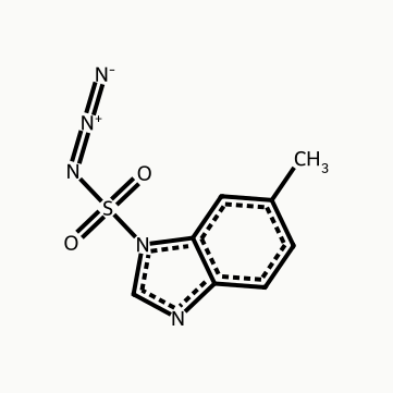 Cc1ccc2ncn(S(=O)(=O)N=[N+]=[N-])c2c1